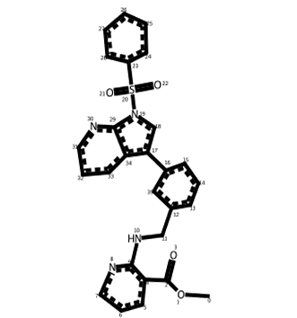 COC(=O)c1cccnc1NCc1cccc(-c2cn(S(=O)(=O)c3ccccc3)c3ncccc23)c1